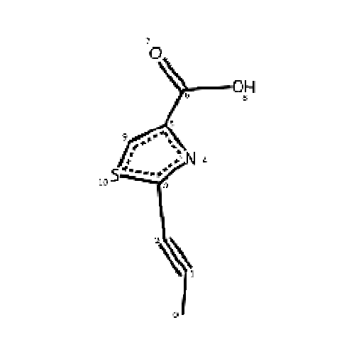 CC#Cc1nc(C(=O)O)cs1